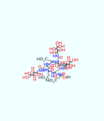 CN[C@@H](CCC(=O)NC[C@H](O)[C@@H](O)[C@H](O)[C@H](O)CO)C(=O)N[C@H](CCC(=O)O)C(=O)N[C@@H](CCC(=O)NC[C@H](O)[C@@H](O)[C@H](O)[C@H](O)CO)C(=O)N[C@H](CCC(=O)O)C(=O)N[C@@H](CCC(=O)NC[C@H](O)[C@@H](O)[C@H](O)[C@H](O)CO)C(=O)N[C@H](CCC(=O)O)C(=O)OC(C)C